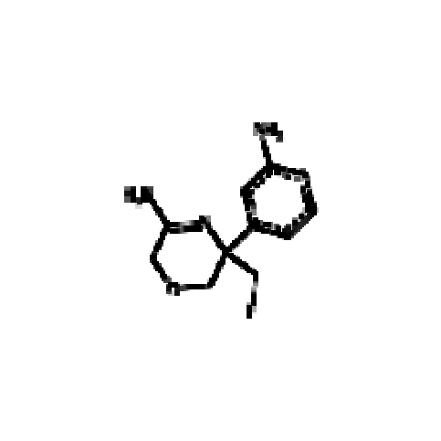 NC1=NC(CF)(c2ccnc(N)c2)COC1